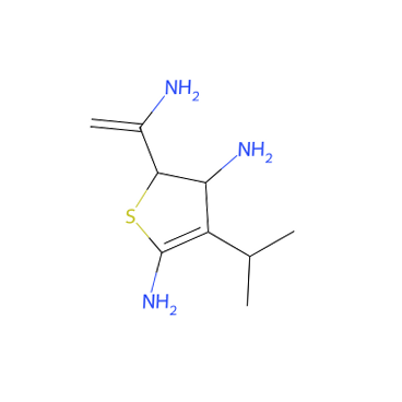 C=C(N)C1SC(N)=C(C(C)C)C1N